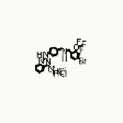 CN(C)c1nc(NC2CCC(CNCc3ccc(Br)cc3OC(F)(F)F)CC2)nc2ccccc12.Cl.Cl